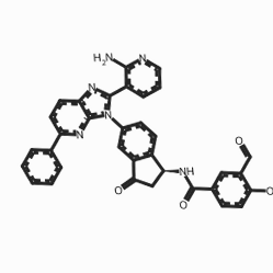 Nc1ncccc1-c1nc2ccc(-c3ccccc3)nc2n1-c1ccc2c(c1)C(=O)C[C@@H]2NC(=O)c1ccc(O)c(C=O)c1